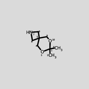 CC1(C)OCC2(CNC2)CO1